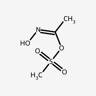 CC(=NO)OS(C)(=O)=O